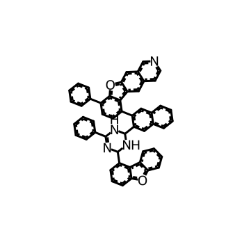 c1ccc(C2=NC(c3cccc4oc5ccccc5c34)NC(c3cc4ccccc4cc3-c3ccc(-c4ccccc4)c4oc5cc6cnccc6cc5c34)N2)cc1